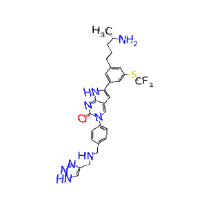 C[C@H](N)CCCc1cc(SC(F)(F)F)cc(-c2cc3cn(-c4ccc(CNCc5c[nH]nn5)cc4)c(=O)nc3[nH]2)c1